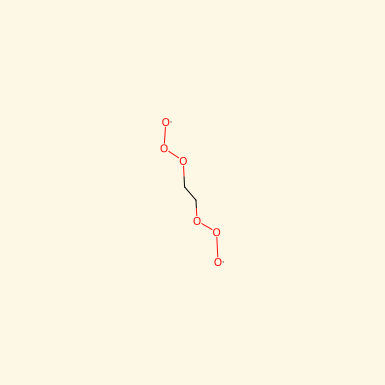 [O]OOCCOO[O]